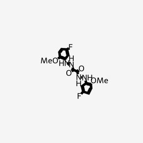 COc1ccc(F)cc1NNC(=O)C(=O)NNc1cc(F)ccc1OC